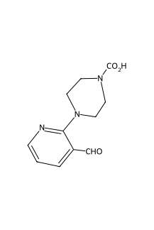 O=Cc1cccnc1N1CCN(C(=O)O)CC1